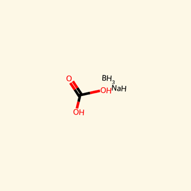 B.O=C(O)O.[NaH]